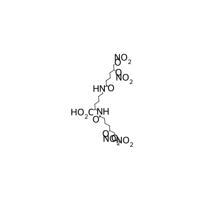 O=C(CCCC(CO[N+](=O)[O-])O[N+](=O)[O-])NCCCCC(NC(=O)CCCC(CO[N+](=O)[O-])O[N+](=O)[O-])C(=O)O